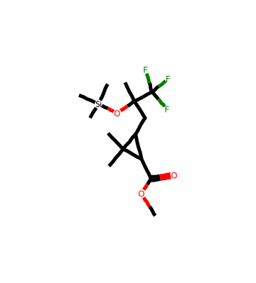 COC(=O)C1C(CC(C)(O[Si](C)(C)C)C(F)(F)F)C1(C)C